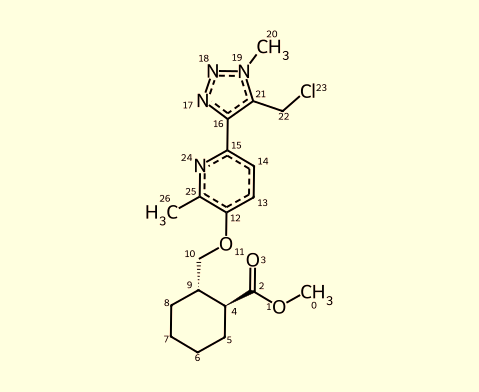 COC(=O)[C@H]1CCCC[C@@H]1COc1ccc(-c2nnn(C)c2CCl)nc1C